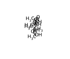 Cc1cc(=O)nc(NC(=O)NC2CC(C)(C)CC(C)(CNC(=O)OCC(C)O)C2)[nH]1